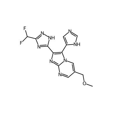 COCc1cnc2nc(-c3nc(C(F)F)n[nH]3)c(-c3cnc[nH]3)n2c1